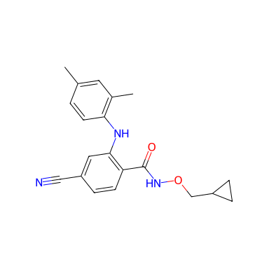 Cc1ccc(Nc2cc(C#N)ccc2C(=O)NOCC2CC2)c(C)c1